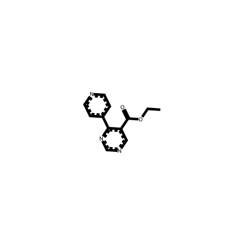 CCOC(=O)c1cncnc1-c1ccncc1